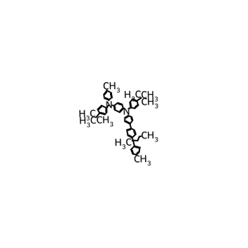 CCCC(C)(c1ccc(C)cc1)c1ccc(-c2ccc(N(c3ccc(N(c4ccc(C)cc4)c4ccc(C(C)(C)C)cc4)cc3)c3ccc(C(C)(C)C)cc3)cc2)cc1